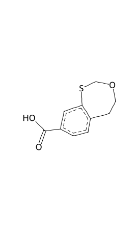 O=C(O)c1ccc2c(c1)SCOCC2